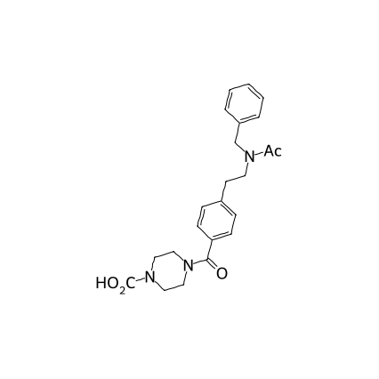 CC(=O)N(CCc1ccc(C(=O)N2CCN(C(=O)O)CC2)cc1)Cc1ccccc1